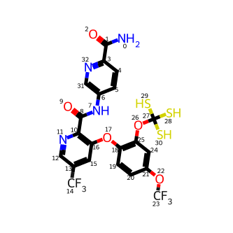 NC(=O)c1ccc(NC(=O)c2ncc(C(F)(F)F)cc2Oc2ccc(OC(F)(F)F)cc2OC(S)(S)S)cn1